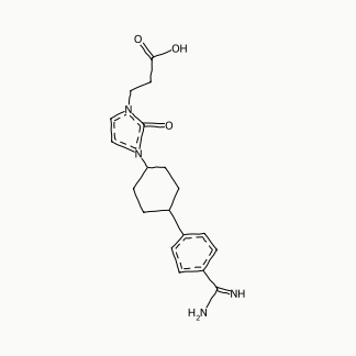 N=C(N)c1ccc(C2CCC(n3ccn(CCC(=O)O)c3=O)CC2)cc1